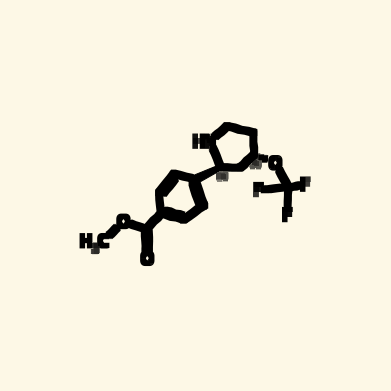 COC(=O)c1ccc([C@@H]2C[C@@H](OC(F)(F)F)CCN2)cc1